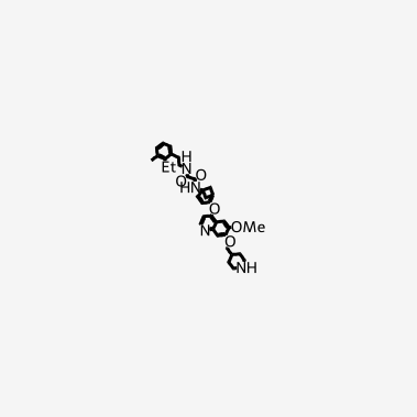 CCc1c(C)cccc1CCNC(=O)C(=O)NC12C=CC(Oc3ccnc4cc(OCC5CCNCC5)c(OC)cc34)=C(C1)C2